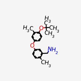 Cc1ccc(Oc2ccc(OC(C)(C)C)c(C)c2)cc1CN